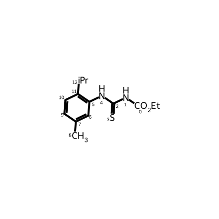 CCOC(=O)NC(=S)Nc1cc(C)ccc1C(C)C